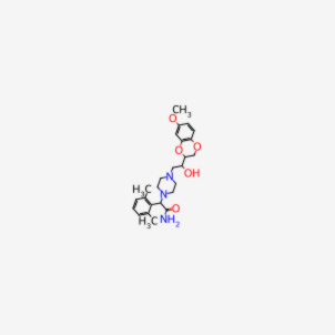 COc1ccc2c(c1)OC(C(O)CN1CCN(C(C(N)=O)c3c(C)cccc3C)CC1)CO2